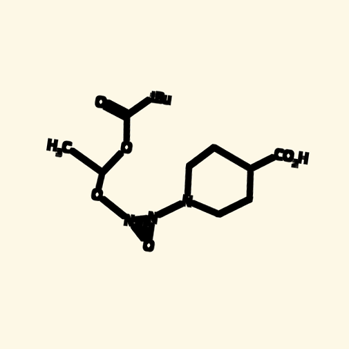 CC(OC(=O)C(C)(C)C)On1on1N1CCC(C(=O)O)CC1